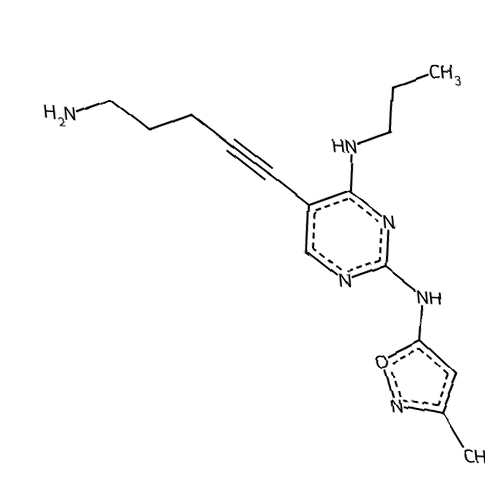 CCCNc1nc(Nc2cc(C)no2)ncc1C#CCCCN